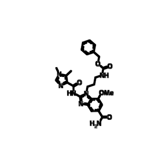 COc1cc(C(N)=O)cc2nc(NC(=O)c3ncn(C)c3C)n(CCCNC(=O)OCc3ccccc3)c12